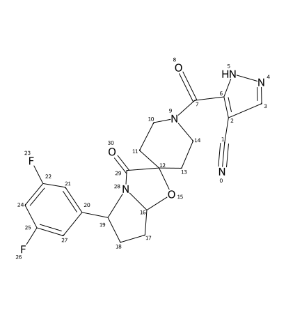 N#Cc1cn[nH]c1C(=O)N1CCC2(CC1)OC1CCC(c3cc(F)cc(F)c3)N1C2=O